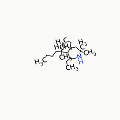 CCCCC(C)(C)C1C(CC)CNC(C)(C)CC1(C)CC